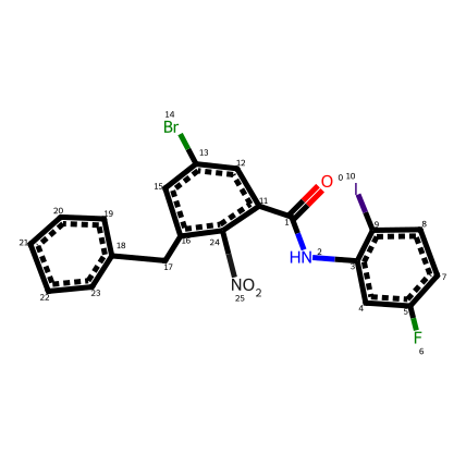 O=C(Nc1cc(F)ccc1I)c1cc(Br)cc(Cc2ccccc2)c1[N+](=O)[O-]